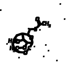 COC1C2COCCCCCC(C(CSC(C)=O)O2)C1OC